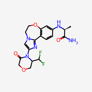 C[C@H](Nc1ccc2c(c1)OCCn1cc(N3C(=O)COCC3C(F)F)nc1-2)C(N)=O